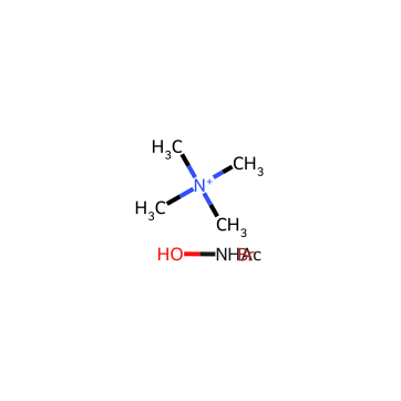 CC(=O)NO.C[N+](C)(C)C.[Br-]